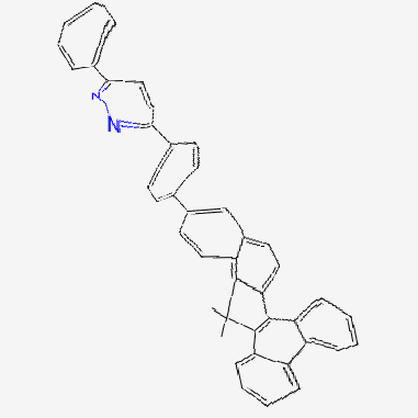 CC1(C)c2c(ccc3cc(-c4ccc(-c5ccc(-c6ccccc6)nn5)cc4)ccc23)-c2c1c1ccccc1c1ccccc21